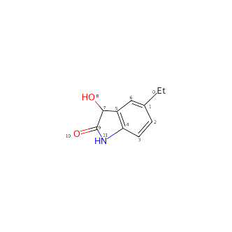 CCc1ccc2c(c1)C(O)C(=O)N2